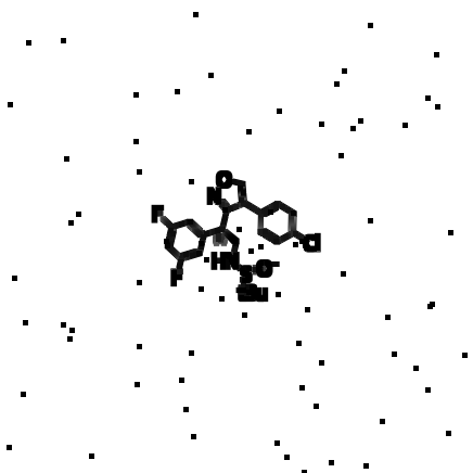 CC(C)(C)[S+]([O-])NC[C@@H](c1cc(F)cc(F)c1)c1nocc1-c1ccc(Cl)cc1